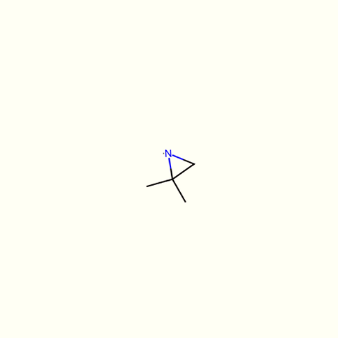 CC1(C)C[N]1